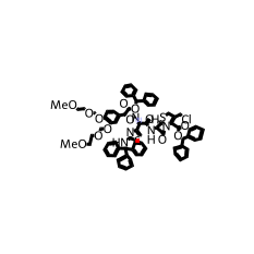 COCCOCOc1ccc(C(O/N=C(/C(=O)NC2C(=O)N3C(C(=O)OC(c4ccccc4)c4ccccc4)=C(CCl)CS[C@H]23)c2csc(NC(c3ccccc3)(c3ccccc3)c3ccccc3)n2)C(=O)OC(c2ccccc2)c2ccccc2)cc1OCOCCOC